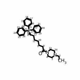 CCN1CCN(C(=O)CCCCCC[PH](c2ccccc2)(c2ccccc2)c2ccccc2)CC1